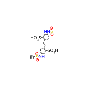 CC(C)S(=O)(=O)Nc1ccc(/C=C/c2ccc(NS(C)(=O)=O)cc2S(=O)(=O)O)c(S(=O)(=O)O)c1